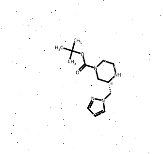 CC(C)(C)OC(=O)N1CCN[C@H](Cn2cccn2)C1